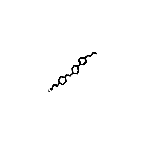 CCCCc1ccc(C2CCC(CCC3CCC(C=CC#N)CC3)CC2)cc1